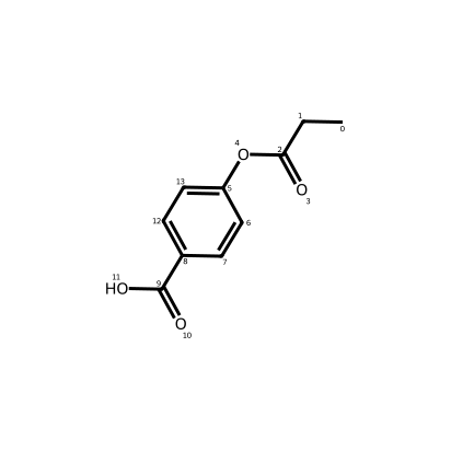 CCC(=O)Oc1ccc(C(=O)O)cc1